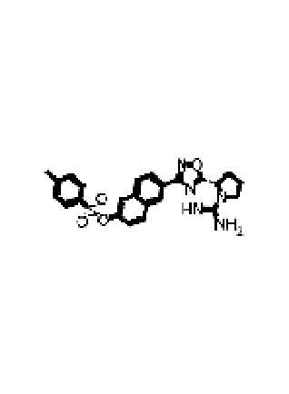 Cc1ccc(S(=O)(=O)Oc2ccc3cc(-c4noc([C@@H]5CCCN5C(=N)N)n4)ccc3c2)cc1